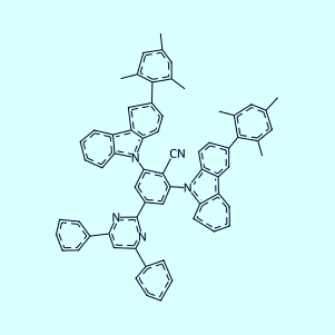 Cc1cc(C)c(-c2ccc3c(c2)c2ccccc2n3-c2cc(-c3nc(-c4ccccc4)cc(-c4ccccc4)n3)cc(-n3c4ccccc4c4cc(-c5c(C)cc(C)cc5C)ccc43)c2C#N)c(C)c1